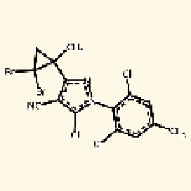 CC1(c2nn(-c3c(Cl)cc(C(F)(F)F)cc3Cl)c(Cl)c2C#N)CC1(Br)Br